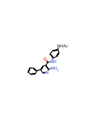 CC(=O)Nc1ccc(NC(=O)c2cc(-c3ccccc3)cnc2N)cc1